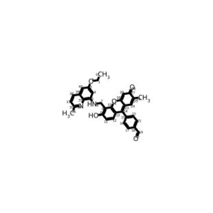 CCOc1cc(NCc2c(O)ccc3c(-c4ccc(C=O)cc4)c4cc(C)c(=O)cc-4oc23)c2nc(C)ccc2c1